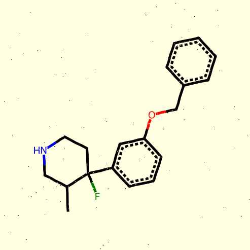 CC1CNCCC1(F)c1cccc(OCc2ccccc2)c1